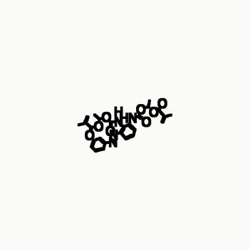 C=C(C)C(=O)OC(C)OC(=O)Nc1cccc(N=Nc2ccccc2)c1NC(=O)OC(C)OC(=O)C(=C)C